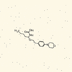 CCCCC(NC(=O)O)OCCc1ccc(N2CCOCC2)cc1